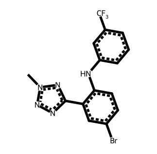 Cn1nnc(-c2cc(Br)ccc2Nc2cccc(C(F)(F)F)c2)n1